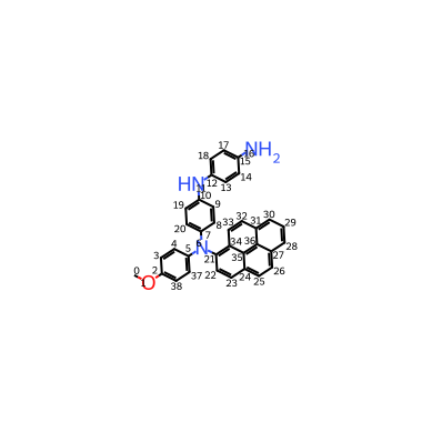 COc1ccc(N(c2ccc(Nc3ccc(N)cc3)cc2)c2ccc3ccc4cccc5ccc2c3c45)cc1